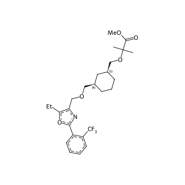 CCc1oc(-c2ccccc2C(F)(F)F)nc1COC[C@@H]1CCC[C@H](COC(C)(C)C(=O)OC)C1